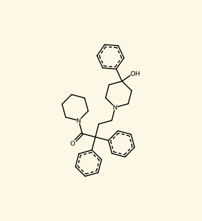 O=C(N1CCCCC1)C(CCN1CCC(O)(c2ccccc2)CC1)(c1ccccc1)c1ccccc1